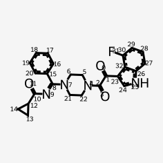 O=C(C(=O)N1CCN(/C(=N/C(=O)C2CC2)c2ccccc2)CC1)c1c[nH]c2cccc(F)c12